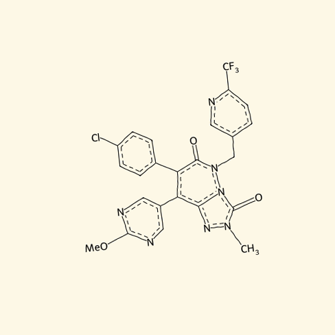 COc1ncc(-c2c(-c3ccc(Cl)cc3)c(=O)n(Cc3ccc(C(F)(F)F)nc3)n3c(=O)n(C)nc23)cn1